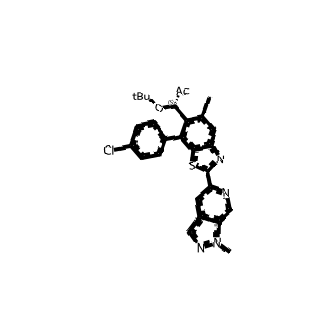 CC(=O)[C@@H](OC(C)(C)C)c1c(C)cc2nc(-c3cc4cnn(C)c4cn3)sc2c1-c1ccc(Cl)cc1